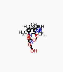 Cc1ccc([C@@H](c2ccn3c(C(F)(F)F)nnc3c2C)C(C)(C)C(=O)O)cc1CN1CCCOCCOc2nc(OCCCO)ccc2S1(=O)=O